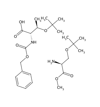 COC(=O)[C@@H](N)COC(C)(C)C.C[C@@H](OC(C)(C)C)[C@H](NC(=O)OCc1ccccc1)C(=O)O